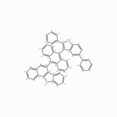 c1ccc(-c2ccc3oc(-c4ccccc4)c(-c4c5ccccc5c(-c5cc6ccccc6c6oc7ccccc7c56)c5ccccc45)c3c2)cc1